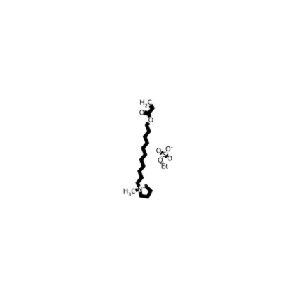 C=CC(=O)OCCCCCCCCCCC[N+]1(C)CCCC1.CCOS(=O)(=O)[O-]